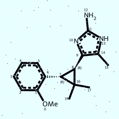 COc1ccccc1[C@@H]1[C@@H](c2nc(N)[nH]c2C)C1(C)C